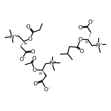 CC(=O)O[C@H](CC(=O)[O-])C[N+](C)(C)C.CC(C)CC(=O)O[C@H](CC(=O)[O-])C[N+](C)(C)C.CCC(=O)O[C@H](CC(=O)[O-])C[N+](C)(C)C